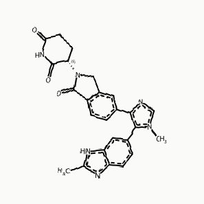 Cc1nc2ccc(-c3c(-c4ccc5c(c4)CN([C@H]4CCC(=O)NC4=O)C5=O)ncn3C)cc2[nH]1